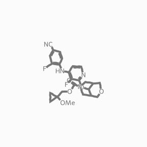 COC1(COC(=O)N2CC3COCC(C2)C3Oc2nccc(Nc3ccc(C#N)cc3F)c2F)CC1